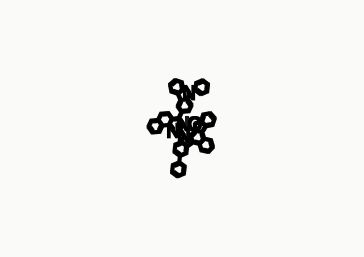 c1ccc(-c2ccc3c(c2)c2c4ccccc4c4c5ccccc5oc4c2n3-c2nc(-c3ccc4c(c3)c3ccccc3n4-c3ccccc3)c3ccc4ccccc4c3n2)cc1